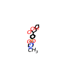 CN1CCN(S(=O)(=O)c2ccc(C(CC3CCCC3)C(=O)O)cc2)CC1